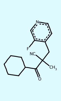 CC(C#N)(Cc1ccncc1F)C(=O)C1CCCCC1